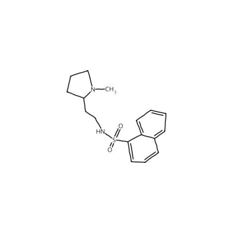 CN1CCCC1CCNS(=O)(=O)c1cccc2ccccc12